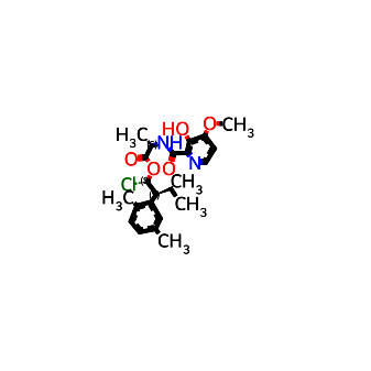 COc1ccnc(C(=O)N[C@@H](C)C(=O)O[C@@H](Cl)[C@H](c2cc(C)ccc2C)C(C)C)c1O